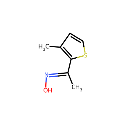 CC(=NO)c1sccc1C